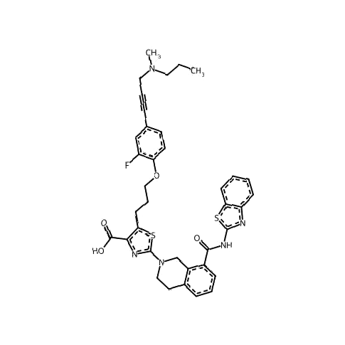 CCCN(C)CC#Cc1ccc(OCCCc2sc(N3CCc4cccc(C(=O)Nc5nc6ccccc6s5)c4C3)nc2C(=O)O)c(F)c1